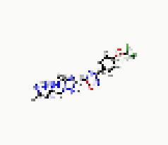 CN/C(=C\C(C)=N)Cn1nc(-c2nc(-c3ccc(OC(F)(F)F)cc3)no2)nc1C